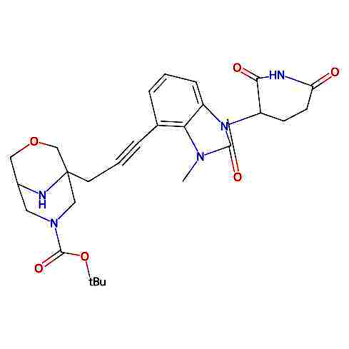 Cn1c(=O)n(C2CCC(=O)NC2=O)c2cccc(C#CCC34COCC(CN(C(=O)OC(C)(C)C)C3)N4)c21